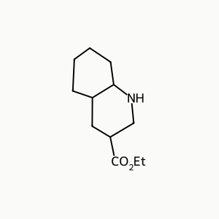 CCOC(=O)C1CNC2CCCCC2C1